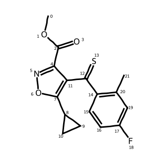 COC(=O)c1noc(C2CC2)c1C(=S)c1ccc(F)cc1C